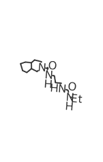 CCNC(=O)NCCCNC(=O)N1CCC2CCCCC2C1